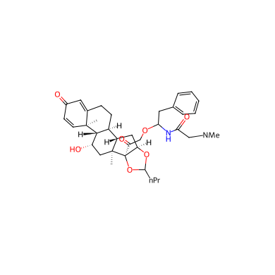 CCCC1O[C@@H]2C[C@H]3[C@@H]4CCC5=CC(=O)C=C[C@]5(C)[C@H]4[C@@H](O)C[C@]3(C)[C@]2(C(=O)COC(Cc2ccccc2)NC(=O)CNC)O1